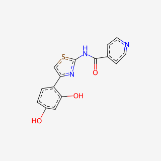 O=C(Nc1nc(-c2ccc(O)cc2O)cs1)c1ccncc1